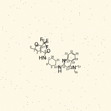 Cc1cc(C(=O)N[C@H]2CC[C@@H](Nc3cc(N(C)C)c4ccccc4n3)CC2)c(C(F)(F)F)o1